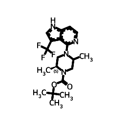 CC1CN(C(=O)OC(C)(C)C)[C@@H](C)CN1c1nccc2[nH]cc(C(F)(F)F)c12